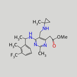 COC(=O)Cc1nc(C)nc(NC(C)c2cccc(C(F)(F)F)c2C)c1CNC1(C)CC1